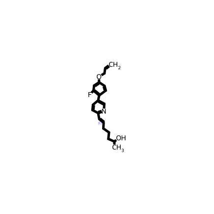 C=CCOc1ccc(-c2ccc(/C=C/CCCC(C)O)nc2)c(F)c1